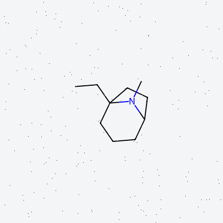 CCC12CCCC(CC1)N2C